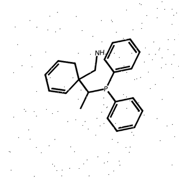 CC(P(c1ccccc1)c1ccccc1)C1(CN)C=CC=CC1